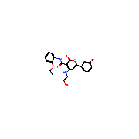 CCOc1ccccc1NC(=O)c1c(NCCO)cc(-c2cccc(Br)c2)oc1=O